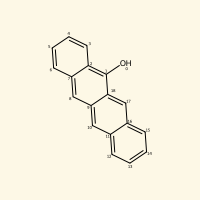 Oc1c2ccccc2cc2cc3ccccc3cc12